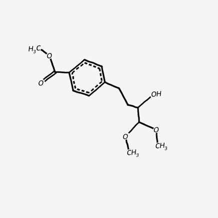 COC(=O)c1ccc(CCC(O)C(OC)OC)cc1